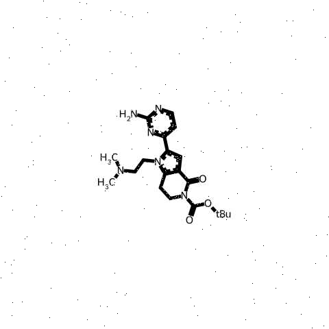 CN(C)CCn1c(-c2ccnc(N)n2)cc2c1CCN(C(=O)OC(C)(C)C)C2=O